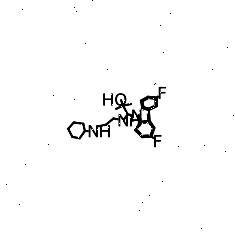 CC(C)(O)C(NCCCNC1CCCCC1)n1c2ccc(F)cc2c2cc(F)ccc21